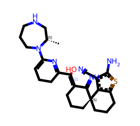 C[C@H]1CNCCCN1C1=CCCC(/C(O)=C2\CCC[C@@]3(CCCc4sc(N)c(C#N)c43)C2=N)=N1